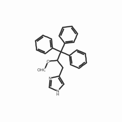 O=COC(Cc1c[nH]cn1)C(c1ccccc1)(c1ccccc1)c1ccccc1